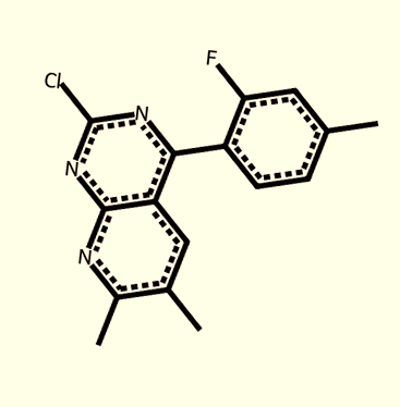 Cc1ccc(-c2nc(Cl)nc3nc(C)c(C)cc23)c(F)c1